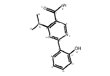 CCCC(=O)c1cnc(-c2ccccc2O)nc1N(C)C